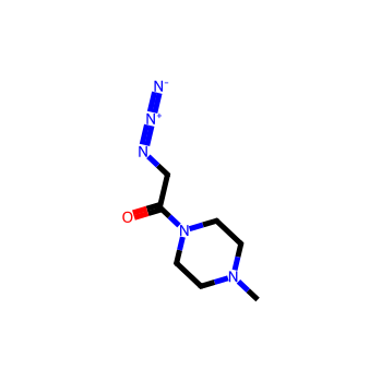 CN1CCN(C(=O)CN=[N+]=[N-])CC1